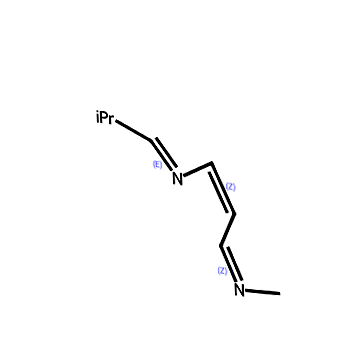 C\N=C/C=C\N=C\C(C)C